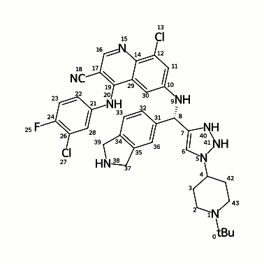 CC(C)(C)N1CCC(N2C=C([C@@H](Nc3cc(Cl)c4ncc(C#N)c(Nc5ccc(F)c(Cl)c5)c4c3)c3ccc4c(c3)CNC4)NN2)CC1